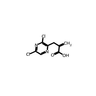 C=C(Cc1ncc(Cl)nc1Cl)C(=O)O